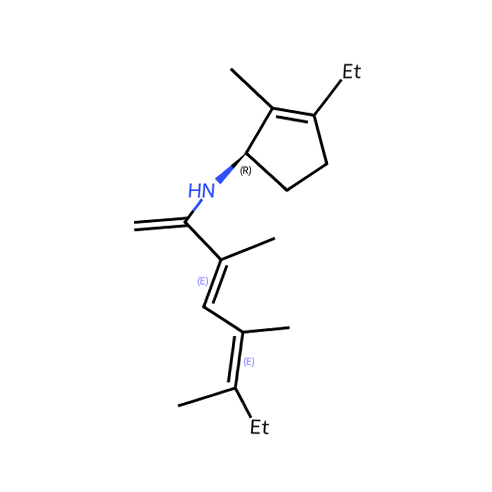 C=C(N[C@@H]1CCC(CC)=C1C)/C(C)=C/C(C)=C(\C)CC